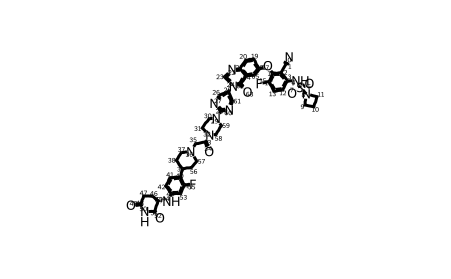 N#Cc1c(NS(=O)(=O)N2CCC2)ccc(F)c1Oc1ccc2ncn(-c3cnc(N4CCN(C(=O)CN5CCC(c6ccc(N[C@H]7CCC(=O)NC7=O)cc6F)CC5)CC4)nc3)c(=O)c2c1